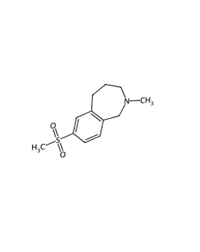 CN1CCCc2cc(S(C)(=O)=O)ccc2C1